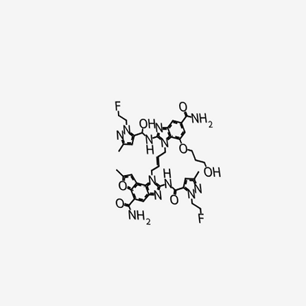 Cc1cc(C(=O)Nc2nc3cc(C(N)=O)c4oc(C)cc4c3n2C/C=C/Cn2c(NC(O)c3cc(C)nn3CCF)nc3cc(C(N)=O)cc(OCCCO)c32)n(CCF)n1